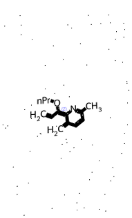 C=C/C(OCCC)=c1/nc(C)ccc1=C